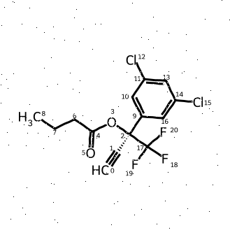 C#C[C@](OC(=O)CCC)(c1cc(Cl)cc(Cl)c1)C(F)(F)F